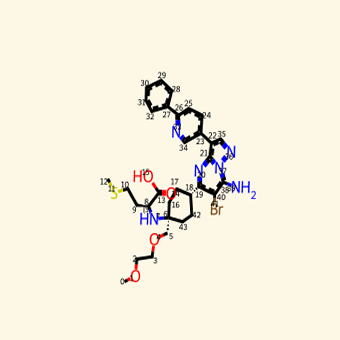 COCCOC[C@]1(N[C@@H](CCSC)C(=O)O)CC[C@H](c2nc3c(-c4ccc(-c5ccccc5)nc4)cnn3c(N)c2Br)CC1